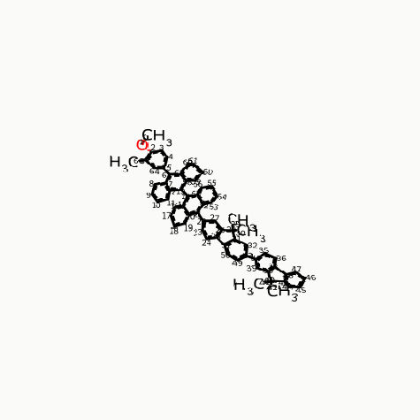 COc1ccc(-c2c3ccccc3c(-c3c4ccccc4c(-c4ccc5c(c4)C(C)(C)c4cc(-c6ccc7c(c6)C(C)(C)c6ccccc6-7)ccc4-5)c4ccccc34)c3ccccc23)cc1C